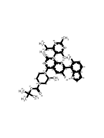 Cc1nc(C)c(-n2c(=O)nc(N3CCN(C(=O)OC(C)(C)C)C[C@@H]3C)c3cc(F)c(-c4c(F)ccc5ccoc45)nc32)c(C(C)C)n1